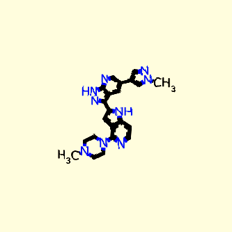 CN1CCN(c2nccc3[nH]c(-c4n[nH]c5ncc(-c6cnn(C)c6)cc45)cc23)CC1